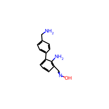 NCc1ccc(-c2cccc(C=NO)c2N)cc1